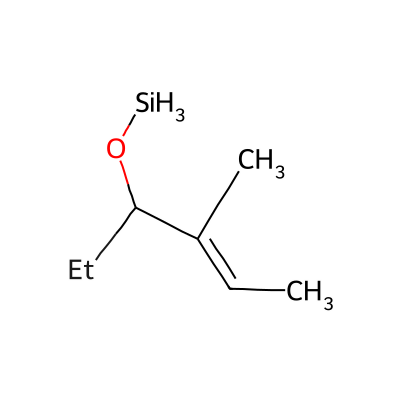 CC=C(C)C(CC)O[SiH3]